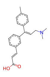 Cc1ccc(/C(=C\CN(C)C)c2cccc(/C=C/C(=O)O)c2)cc1